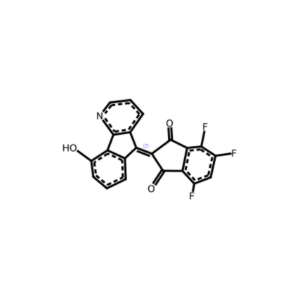 O=C1/C(=C2/c3cccnc3-c3c(O)cccc32)C(=O)c2c(F)c(F)cc(F)c21